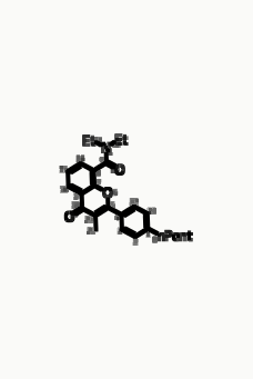 CCCCCc1ccc(-c2oc3c(C(=O)N(CC)CC)cccc3c(=O)c2C)cc1